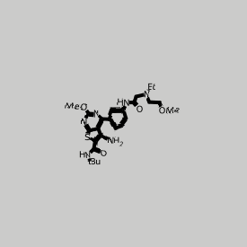 CCN(CCOC)CC(=O)Nc1cccc(-c2nc(OC)nc3sc(C(=O)NC(C)(C)C)c(N)c23)c1